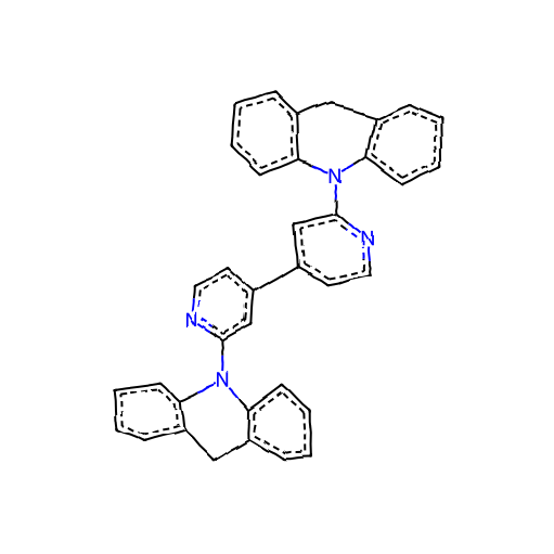 c1ccc2c(c1)Cc1ccccc1N2c1cc(-c2ccnc(N3c4ccccc4Cc4ccccc43)c2)ccn1